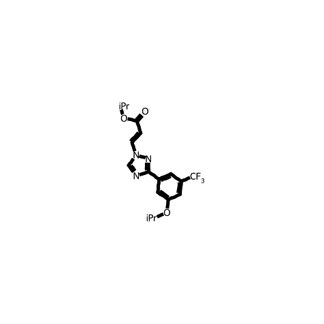 CC(C)OC(=O)C=Cn1cnc(-c2cc(OC(C)C)cc(C(F)(F)F)c2)n1